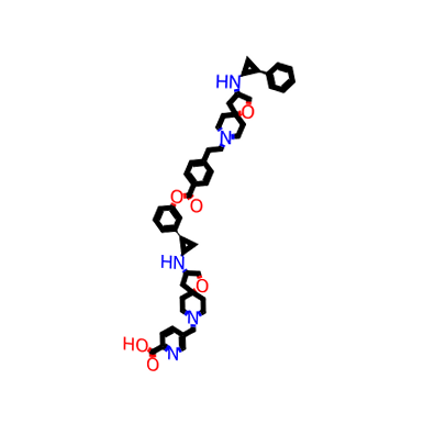 O=C(Oc1cccc([C@@H]2C[C@H]2NC2COC3(CCN(Cc4ccc(C(=O)O)nc4)CC3)C2)c1)c1ccc(CCN2CCC3(CC2)CC(N[C@@H]2C[C@H]2c2ccccc2)CO3)cc1